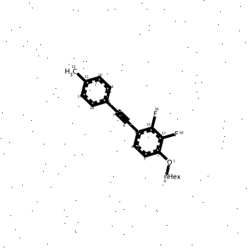 CCCCCCOc1ccc(C#Cc2ccc(C)cc2)c(F)c1F